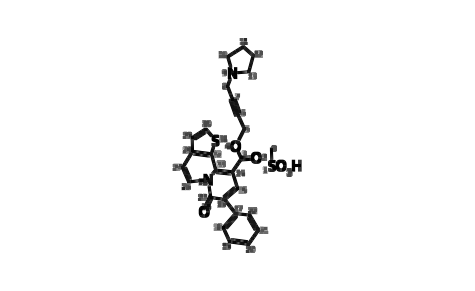 CS(=O)(=O)O.O=C(OCC#CCN1CCCC1)c1cc(-c2ccccc2)c(=O)n2ccc3ccsc3c12